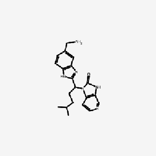 CC(C)CCC(c1nc2cc(CN)ccc2[nH]1)n1c(=O)[nH]c2cnccc21